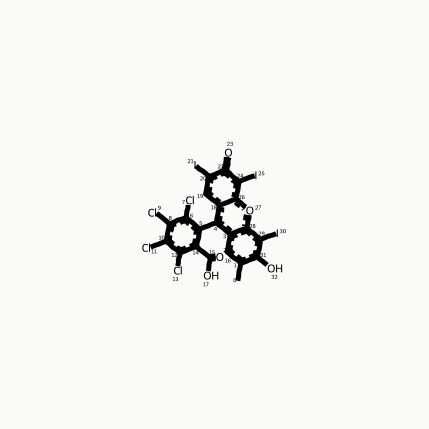 Cc1cc2c(-c3c(Cl)c(Cl)c(Cl)c(Cl)c3C(=O)O)c3cc(I)c(=O)c(I)c-3oc2c(I)c1O